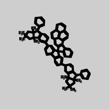 CC1(C)CC2(C)c3cc(-c4ccc5c(c4)C4(c6cc(-c7ccc8c(c7)C7(C)CC(C)(C)CC7(C)N8c7ccccc7)ccc6-5)c5ccccc5-c5c4cc4ccc6cccc7ccc5c4c67)ccc3N(c3ccccc3)C2(C)C1